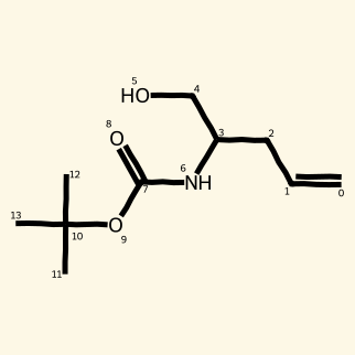 C=CCC(CO)NC(=O)OC(C)(C)C